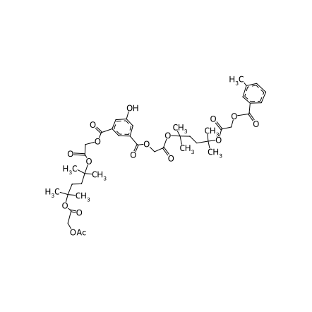 CC(=O)OCC(=O)OC(C)(C)CCC(C)(C)OC(=O)COC(=O)c1cc(O)cc(C(=O)OCC(=O)OC(C)(C)CCC(C)(C)OC(=O)COC(=O)c2cccc(C)c2)c1